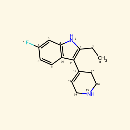 CCc1[nH]c2cc(F)ccc2c1C1=CCNCC1